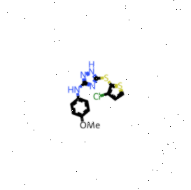 COc1ccc(Nc2n[nH]c(Sc3sccc3Cl)n2)cc1